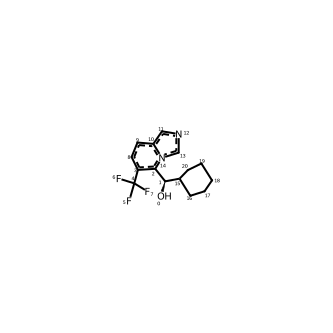 O[C@@H](c1c(C(F)(F)F)ccc2cncn12)C1CCCCC1